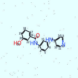 O=C(Nc1cccc(Nc2ccncc2)c1)c1cccc(O)c1